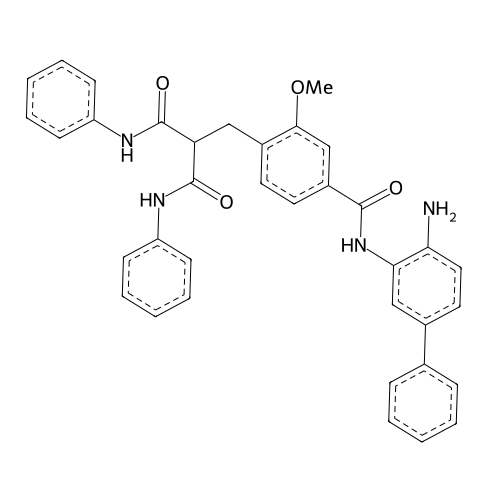 COc1cc(C(=O)Nc2cc(-c3ccccc3)ccc2N)ccc1CC(C(=O)Nc1ccccc1)C(=O)Nc1ccccc1